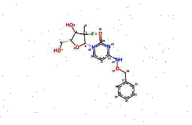 CC1(F)C(O)[C@@H](CO)O[C@H]1n1ccc(NOCc2ccccc2)nc1=O